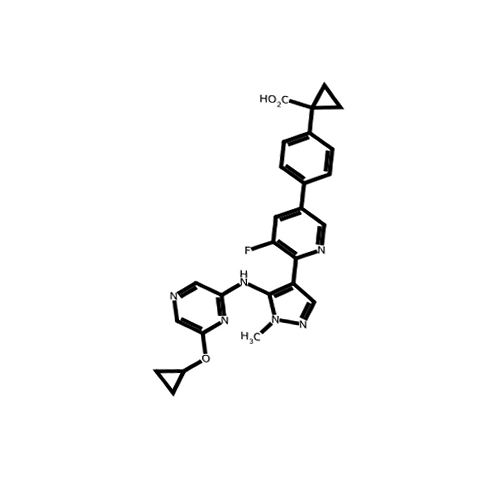 Cn1ncc(-c2ncc(-c3ccc(C4(C(=O)O)CC4)cc3)cc2F)c1Nc1cncc(OC2CC2)n1